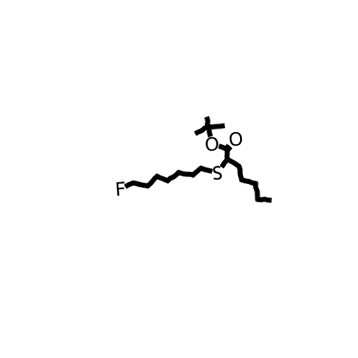 CCCCCC(SCCCCCCCF)C(=O)OC(C)(C)C